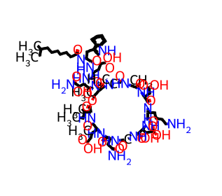 CCC(C)CCCCCCC(=O)NC(Cc1c[nH]c2ccccc12)C(=O)NC(CCC(=O)O)C(=O)NC(C(=O)NC1C(=O)N(C)CC(=O)NC(C)C(=O)NC(CC(=O)O)C(=O)NC(CCCCN)C(=O)NC(C(O)C(=O)O)C(=O)NCC(=O)NC(CC(N)=O)C(=O)NC(C(C)CC(=O)O)C(=O)NC(C(C)CC)C(=O)OC1C)C(O)C(N)=O